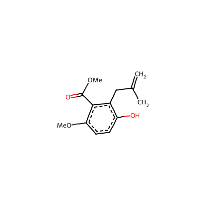 C=C(C)Cc1c(O)ccc(OC)c1C(=O)OC